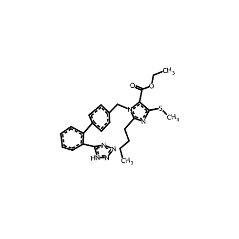 CCCCc1nc(SC)c(C(=O)OCC)n1Cc1ccc(-c2ccccc2-c2nnn[nH]2)cc1